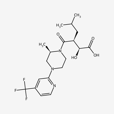 CC(C)C[C@H](C(=O)N1CCN(c2cc(C(F)(F)F)ccn2)C[C@H]1C)[C@H](O)C(=O)O